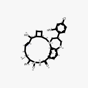 CCCc1cc(Cl)ccc1C1COc2ccc3cc2N(C1)CC1CCC1C(O)/C=C/C[C@@H](C)C(C(C)C)[S+]([O-])NC3=O